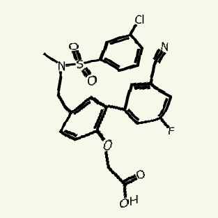 CN(Cc1ccc(OCC(=O)O)c(-c2cc(F)cc(C#N)c2)c1)S(=O)(=O)c1cccc(Cl)c1